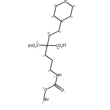 CCOC(=O)C(CCCNC(=O)OC(C)(C)C)(OCC1CCOCC1)C(=O)OCC